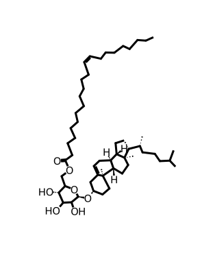 CCCCCCCC/C=C\CCCCCCCCCCCC(=O)OCC1O[C@@H](O[C@H]2CC[C@@]3(C)C(=CC[C@H]4[C@@H]5CC[C@H]([C@H](C)CCCC(C)C)[C@@]5(C)CC[C@@H]43)C2)C(O)C(O)[C@@H]1O